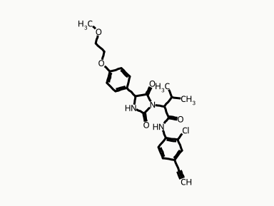 C#Cc1ccc(NC(=O)C(C(C)C)N2C(=O)NC(c3ccc(OCCOC)cc3)C2=O)c(Cl)c1